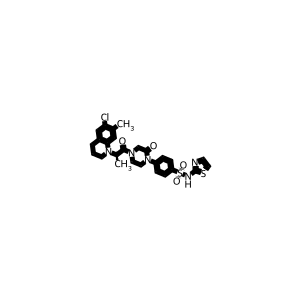 Cc1cc2c(cc1Cl)CCCN2[C@H](C)C(=O)N1CCN(c2ccc(S(=O)(=O)Nc3nccs3)cc2)C(=O)C1